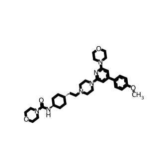 COc1ccc(-c2cc(N3CCOCC3)nc(N3CCN(CC[C@H]4CC[C@H](NC(=O)N5CCOCC5)CC4)CC3)c2)cc1